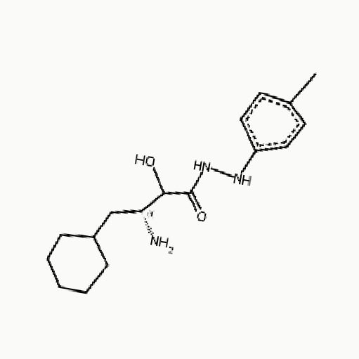 Cc1ccc(NNC(=O)C(O)[C@H](N)CC2CCCCC2)cc1